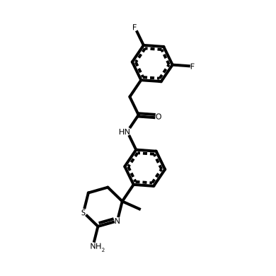 CC1(c2cccc(NC(=O)Cc3cc(F)cc(F)c3)c2)CCSC(N)=N1